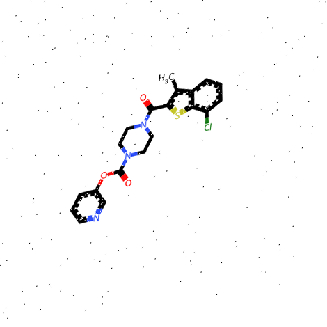 Cc1c(C(=O)N2CCN(C(=O)Oc3cccnc3)CC2)sc2c(Cl)cccc12